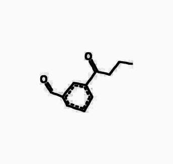 CCCC(=O)c1cccc(C=O)c1